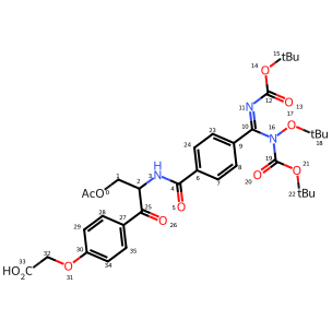 CC(=O)OCC(NC(=O)c1ccc(/C(=N/C(=O)OC(C)(C)C)N(OC(C)(C)C)C(=O)OC(C)(C)C)cc1)C(=O)c1ccc(OCC(=O)O)cc1